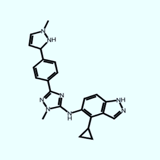 CN1C=CC(c2ccc(-c3nc(Nc4ccc5[nH]ncc5c4C4CC4)n(C)n3)cc2)N1